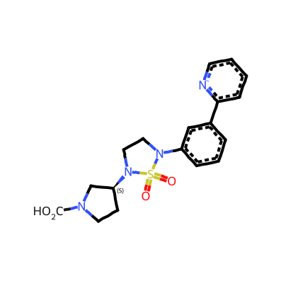 O=C(O)N1CC[C@H](N2CCN(c3cccc(-c4ccccn4)c3)S2(=O)=O)C1